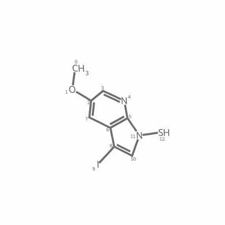 COc1cnc2c(c1)c(I)cn2S